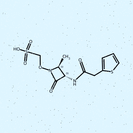 C[C@H]1[C@H](NC(=O)Cc2cccs2)C(=O)N1OCS(=O)(=O)O